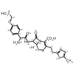 Cc1nnc(SCC2=C(C(=O)O)N3C(=O)C(NC(=O)C(N)c4ccc(OCC(=O)O)cc4)[C@@H]3SC2)s1